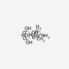 CCC(N)N(C)C.O=C(O)CC(O)(CC(=O)O)C(=O)O